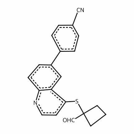 N#Cc1ccc(-c2ccc3nccc(SC4(C=O)CCC4)c3c2)cc1